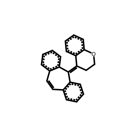 C1=Cc2ccccc2C(=C2CCOc3ccccc32)c2ccccc21